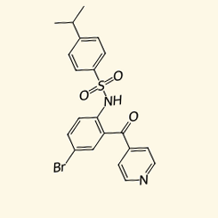 CC(C)c1ccc(S(=O)(=O)Nc2ccc(Br)cc2C(=O)c2ccncc2)cc1